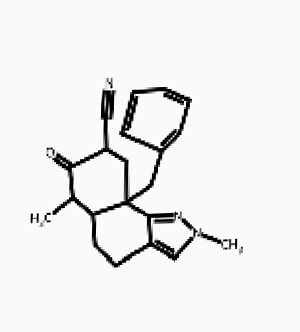 CC1C(=O)C(C#N)CC2(Cc3ccccc3)c3nn(C)cc3CCC12